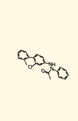 CC(=O)N(Nc1ccc(-c2ccccc2C)c(Cl)c1)c1ccccc1